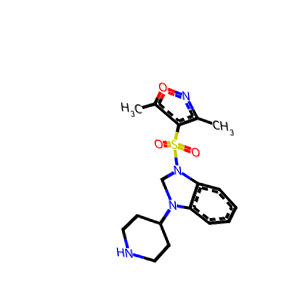 Cc1noc(C)c1S(=O)(=O)N1CN(C2CCNCC2)c2ccccc21